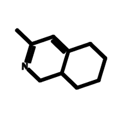 CC1=NCC2CCCCC2=C1